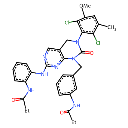 CCC(=O)Nc1cccc(CN2C(=O)N(c3c(Cl)c(C)cc(OC)c3Cl)Cc3cnc(Nc4ccccc4NC(=O)CC)nc32)c1